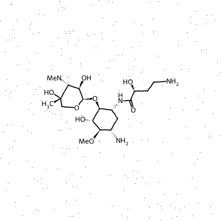 CN[C@@H]1[C@@H](O)[C@@H](O[C@@H]2[C@@H](O)[C@H](OC)[C@@H](N)C[C@H]2NC(=O)[C@@H](O)CCN)OC[C@]1(C)O